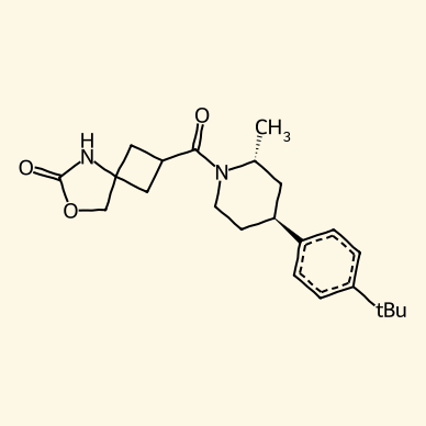 C[C@@H]1C[C@@H](c2ccc(C(C)(C)C)cc2)CCN1C(=O)C1CC2(COC(=O)N2)C1